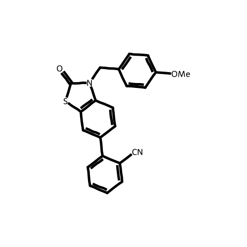 COc1ccc(Cn2c(=O)sc3cc(-c4ccccc4C#N)ccc32)cc1